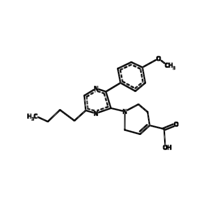 CCCCc1cnc(-c2ccc(OC)cc2)c(N2CC=C(C(=O)O)CC2)n1